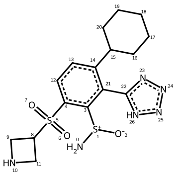 N[S+]([O-])c1c(S(=O)(=O)C2CNC2)ccc(C2CCCCC2)c1-c1nnn[nH]1